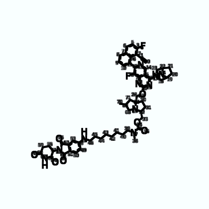 C#Cc1c(F)ccc2cccc(-c3ncc4c(N5CC6CCC(C5)N6)nc(OC[C@@]56CC[C@@H](COC(=O)N(C)CCCCCCCCNc7ccc8c(c7)C(=O)N(C7CCC(=O)NC7=O)C8=O)N5CC(C)C6)nc4c3F)c12